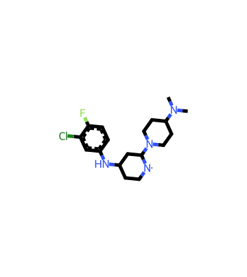 CN(C)C1CCN(C2CC(Nc3ccc(F)c(Cl)c3)CC[N]2)CC1